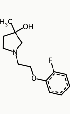 CC1(O)CCN(CCOc2ccccc2F)C1